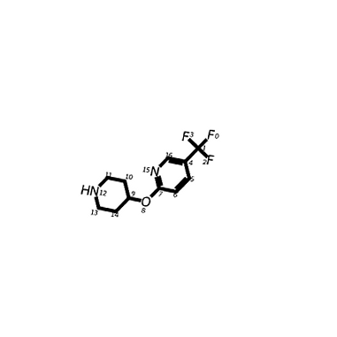 FC(F)(F)c1ccc(OC2CCNCC2)nc1